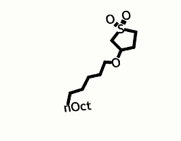 CCCCCCCCCCCCCOC1CCS(=O)(=O)C1